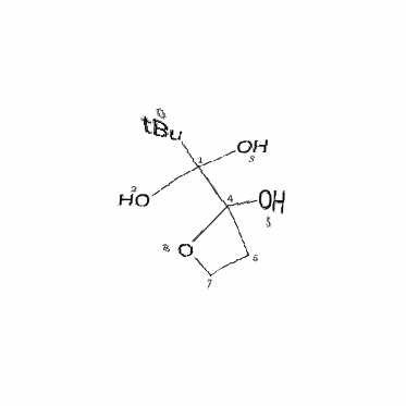 CC(C)(C)C(O)(O)C1(O)CCO1